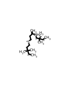 C=C(CCSCCC(C)(C)CC)NCC(C)(C)CC